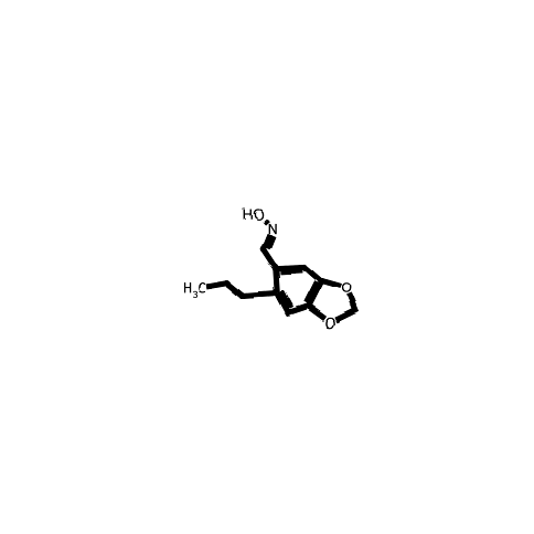 CCCc1cc2c(cc1C=NO)OCO2